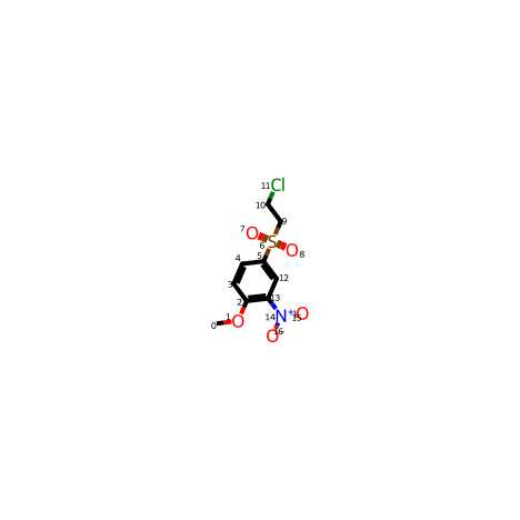 COc1ccc(S(=O)(=O)CCCl)cc1[N+](=O)[O-]